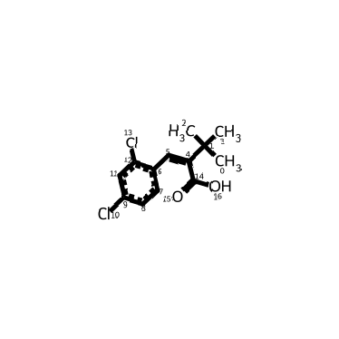 CC(C)(C)C(=Cc1ccc(Cl)cc1Cl)C(=O)O